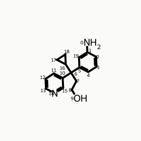 Nc1cccc(C(CCO)(c2cccnc2)C2CC2)c1